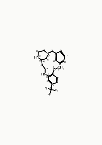 COc1ccc(C(F)(F)F)cc1NCC[C@@H]1CN(Cc2ccccc2)CCN1